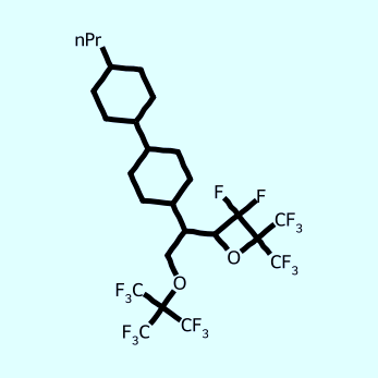 CCCC1CCC(C2CCC(C(COC(C(F)(F)F)(C(F)(F)F)C(F)(F)F)C3OC(C(F)(F)F)(C(F)(F)F)C3(F)F)CC2)CC1